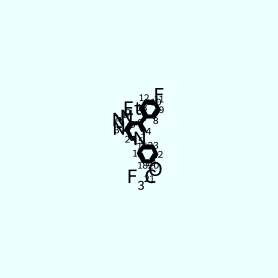 CCn1nnc2c1C(c1ccc(F)cc1)=CN(c1ccc(OC(F)(F)F)cc1)C2